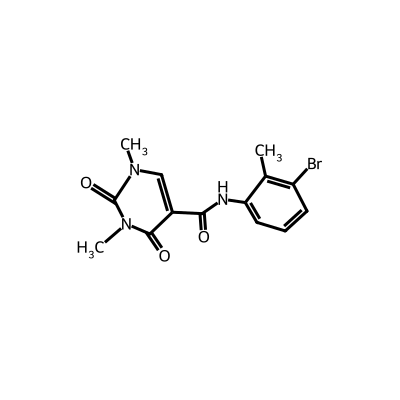 Cc1c(Br)cccc1NC(=O)c1cn(C)c(=O)n(C)c1=O